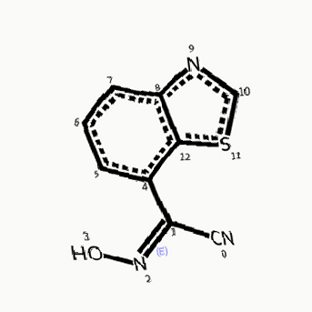 N#C/C(=N/O)c1cccc2ncsc12